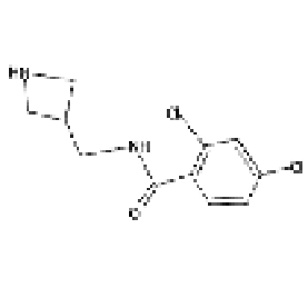 O=C(NCC1CNC1)c1ccc(Cl)cc1Cl